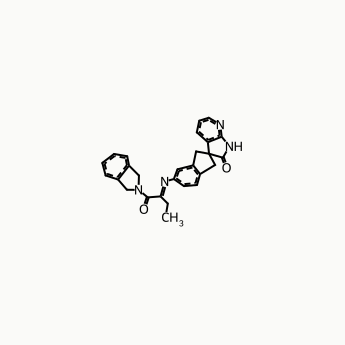 CC/C(=N\c1ccc2c(c1)CC1(C2)C(=O)Nc2ncccc21)C(=O)N1Cc2ccccc2C1